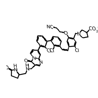 N#CCCOc1cc(/C=C\c2cccc(-c3cccc(-c4ccn5c(=O)c(CNCC6CCC(=O)N6)cnc5c4)c3Cl)c2Cl)c(Cl)cc1CN1CCC(C(=O)O)C1